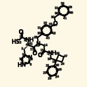 O=C(S)N[C@@H](Cc1c[nH]cn1)C(=O)N(CC(=O)NCC1(c2ccccc2)CCC1)Cc1ccc(OCc2ccccc2)cc1